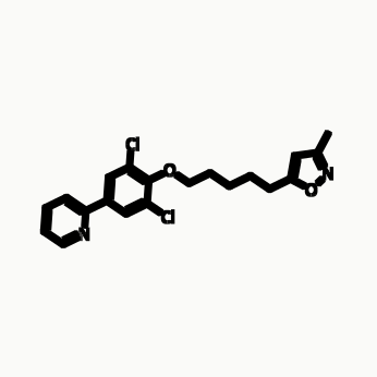 Cc1cc(CCCCCOc2c(Cl)cc(-c3ccccn3)cc2Cl)on1